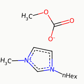 CCCCCCn1cc[n+](C)c1.COC(=O)[O-]